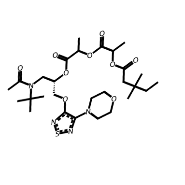 CCC(C)(C)CC(=O)OC(C)C(=O)OC(C)C(=O)O[C@H](COc1nsnc1N1CCOCC1)CN(C(C)=O)C(C)(C)C